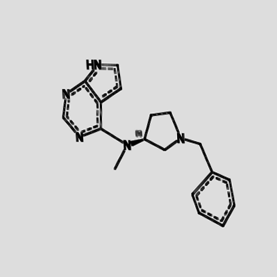 CN(c1ncnc2[nH]ccc12)[C@H]1CCN(Cc2ccccc2)C1